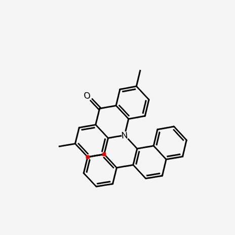 Cc1ccc2c(c1)c(=O)c1cc(C)ccc1n2-c1c(-c2ccccc2)ccc2ccccc12